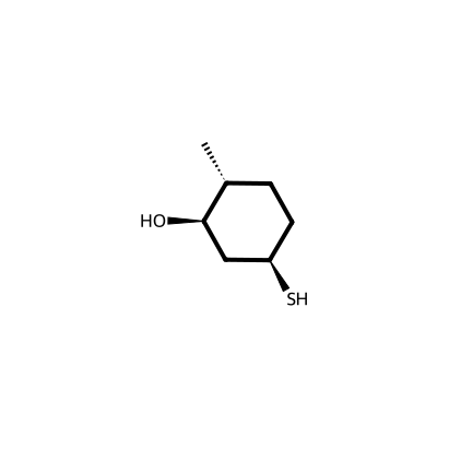 C[C@@H]1CC[C@@H](S)C[C@H]1O